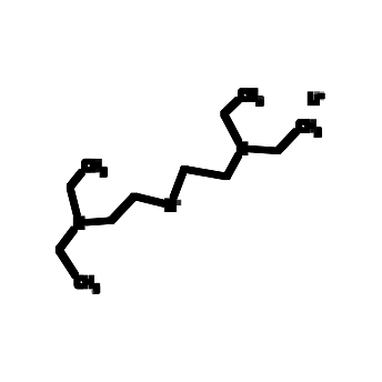 CCN(CC)CC[N-]CCN(CC)CC.[Li+]